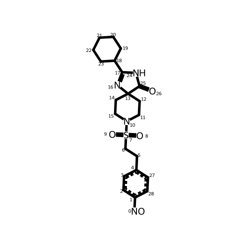 O=Nc1ccc(CCS(=O)(=O)N2CCC3(CC2)N=C(C2CCCCC2)NC3=O)cc1